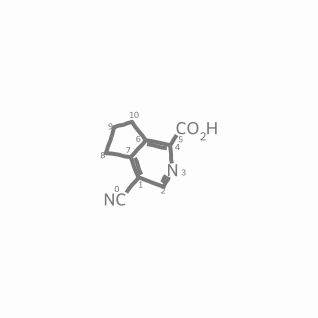 N#Cc1cnc(C(=O)O)c2c1CCC2